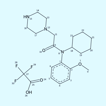 COc1ccccc1N(C(=O)CN1CCNCC1)C1CCCCC1.O=C(O)C(F)(F)F